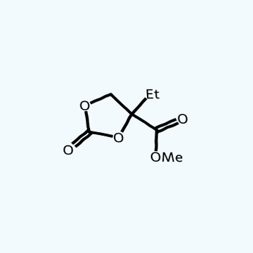 CCC1(C(=O)OC)COC(=O)O1